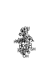 CC(C)C[C@H](NC(=O)[C@@H]1CCCN1C(=O)[C@H](CC(N)=O)NC(=O)[C@@H](NC(=O)[C@H](CC(C)C)NC(=O)[C@@H]1C[C@@H](O)CN1C(=O)[C@H](CS)NC(=O)[C@H](CC(=O)O)NC(=O)[C@H](CCCCNC(=N)N)NC(=O)[C@H](C)N)C(C)C)C(=O)O